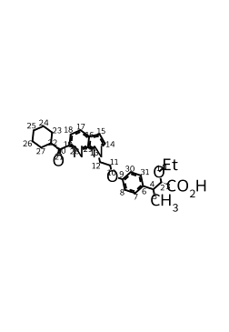 CCO[C@H](C(=O)O)C(C)c1ccc(OCCn2ccc3ccc(C(=O)C4CCCCC4)nc32)cc1